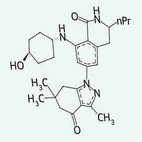 CCCC1Cc2cc(-n3nc(C)c4c3CC(C)(C)CC4=O)cc(N[C@H]3CC[C@H](O)CC3)c2C(=O)N1